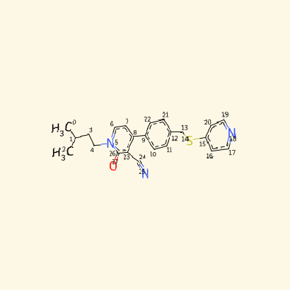 CC(C)CCn1ccc(-c2ccc(CSc3ccncc3)cc2)c(C#N)c1=O